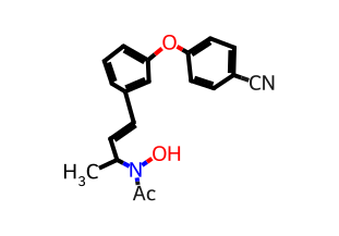 CC(=O)N(O)C(C)C=Cc1cccc(Oc2ccc(C#N)cc2)c1